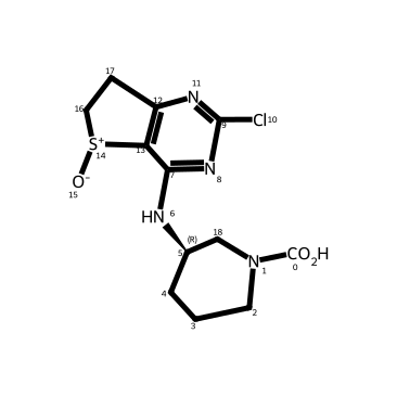 O=C(O)N1CCC[C@@H](Nc2nc(Cl)nc3c2[S+]([O-])CC3)C1